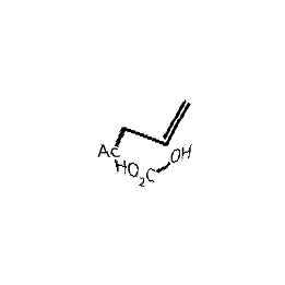 C=CCC(C)=O.O=C(O)O